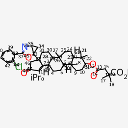 CC(C)C1=C2[C@H]3CC[C@@H]4[C@@]5(C)CC[C@H](OC(=O)CC(C)(C)C(=O)O)C(C)(C)[C@@H]5CC[C@@]4(C)[C@]3(C)CC[C@@]2(C23CC2N=C(c2ccccc2Cl)O3)CC1=O